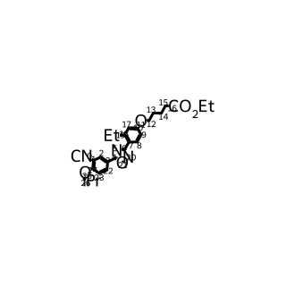 [C-]#[N+]c1cc(-c2nc(-c3ccc(OCCCCC(=O)OCC)cc3CC)no2)ccc1OC(C)C